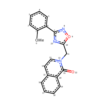 COc1ccccc1-c1noc(Cn2ccc3ccccc3c2=O)n1